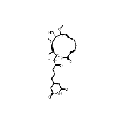 CO[C@H]1/C=C/CC/C=C/C(=O)O[C@H]([C@H](C)C(=O)CCCC2CC(=O)NC(=O)C2)/C(C)=C\[C@@H](C)[C@@H]1O